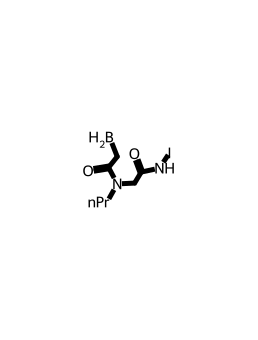 BCC(=O)N(CCC)CC(=O)NI